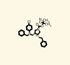 CC(C)(C)OC(=O)N1C[C@H](CN(Cc2ccccc2)c2ccc(Cl)cc2)[C@@H](CCc2ccccc2)C1